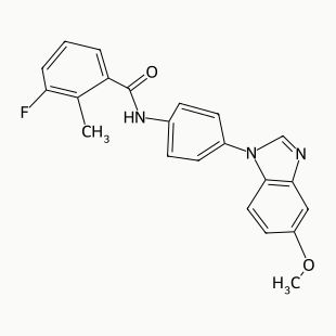 COc1ccc2c(c1)ncn2-c1ccc(NC(=O)c2cccc(F)c2C)cc1